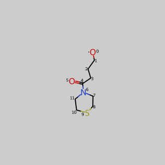 [O]CCCC(=O)N1CCSCC1